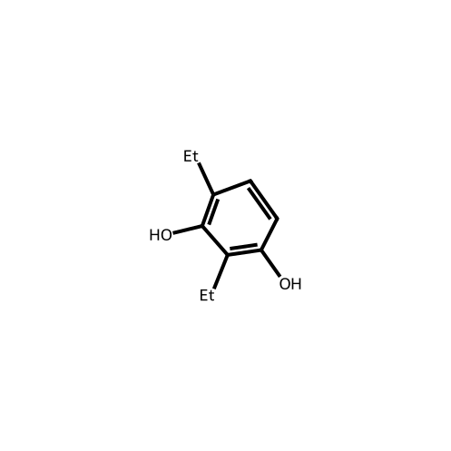 CCc1ccc(O)c(CC)c1O